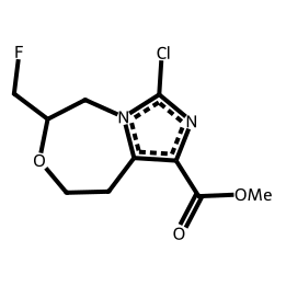 COC(=O)c1nc(Cl)n2c1CCOC(CF)C2